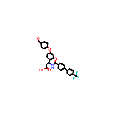 O=Cc1ccc(Oc2ccc(C(CC(=O)O)NC(=O)c3ccc(-c4ccc(C(F)(F)F)cc4)cc3)cc2)cc1